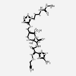 C#CCO/N=C(/C(=O)NC1C(=O)N2C(C(=O)O)=C(CSc3nnnn3CCCNC(=O)OC(C)(C)C)CS[C@H]12)c1nsc(N)n1